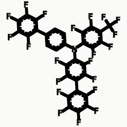 Fc1c(F)c(F)c(-c2ccc(N(c3c(F)c(F)c(-c4c(F)c(F)c(F)c(F)c4F)c(F)c3F)c3c(F)c(F)c(C(F)(F)F)c(F)c3F)cc2)c(F)c1F